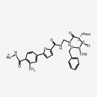 CCCCC[C@@H](C(=O)NCNC(=O)c1ccc(-c2ccc(C(=O)N[C@H](C)CC)c(C)c2)o1)[C@@H](CC)N(C=O)OCc1ccccc1